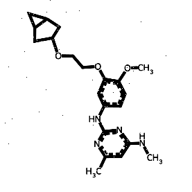 CNc1cc(C)nc(Nc2ccc(OC)c(OCCOC3CC4CC4C3)c2)n1